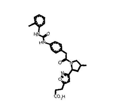 Cc1ccccc1NC(=O)Nc1ccc(CC(=O)N2CC(C)CC2c2cc(CCC(=O)O)on2)cc1